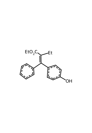 CCOC(=O)/C(CC)=C(\c1ccccc1)c1ccc(O)cc1